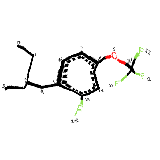 CCC(C)Cc1ccc(OC(F)(F)F)cc1F